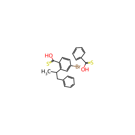 CC(Cc1ccccc1)c1cc(Br)ccc1C(O)=S.OC(=S)c1ccccc1